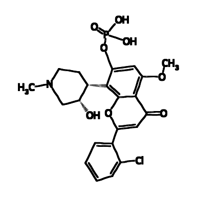 COc1cc(OP(=O)(O)O)c([C@H]2CCN(C)C[C@H]2O)c2oc(-c3ccccc3Cl)cc(=O)c12